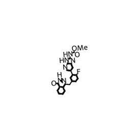 COC(=O)Nc1nc2cc(-c3cc(Cc4n[nH]c(=O)c5ccccc45)ccc3F)cnc2[nH]1